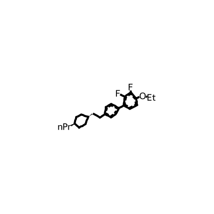 CCC[C@H]1CC[C@H](CCc2ccc(-c3ccc(OCC)c(F)c3F)cc2)CC1